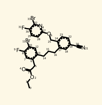 CCOC(=O)Cc1cc(F)c(Br)cc1CCCc1cc(C#N)ccc1COc1ccc(F)c(Br)n1